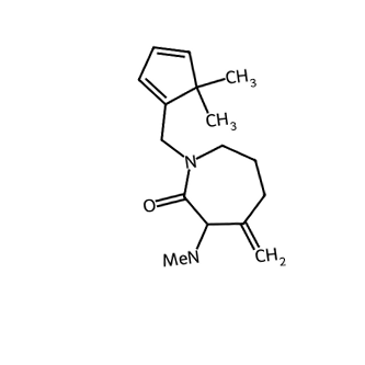 C=C1CCCN(CC2=CC=CC2(C)C)C(=O)C1NC